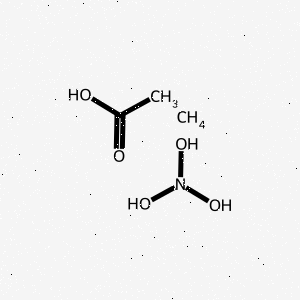 C.CC(=O)O.ON(O)O